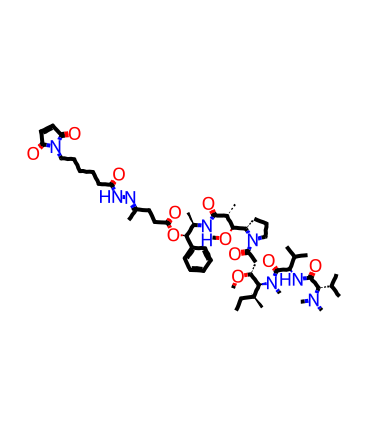 CC[C@H](C)[C@@H]([C@@H](CC(=O)N1CCC[C@H]1[C@H](OC)[C@@H](C)C(=O)N[C@H](C)[C@@H](OC(=O)CC/C(C)=N/NC(=O)CCCCCN1C(=O)C=CC1=O)c1ccccc1)OC)N(C)C(=O)[C@@H](NC(=O)[C@H](C(C)C)N(C)C)C(C)C